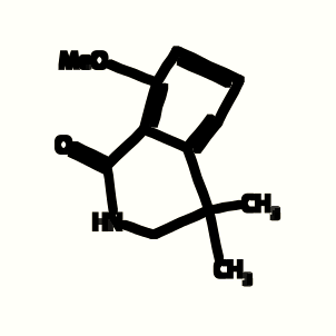 COc1cccc2c1C(=O)NCC2(C)C